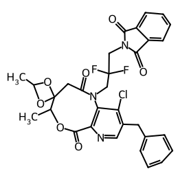 CC1OC2(CC(=O)N(CC(F)(F)CN3C(=O)c4ccccc4C3=O)c3c(ncc(Cc4ccccc4)c3Cl)C(=O)OC2C)O1